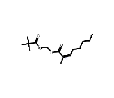 CCCCC/C=C(/C)C(=O)OCOC(=O)C(C)(C)C